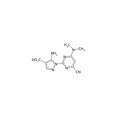 CN(C)c1cc(C#N)nc(-n2ncc(C(=O)O)c2N)n1